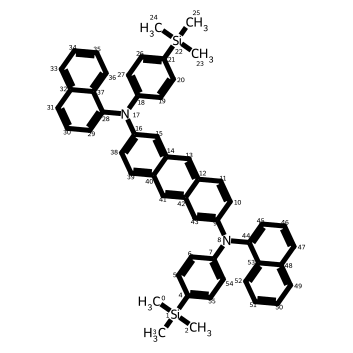 C[Si](C)(C)c1ccc(N(c2ccc3cc4cc(N(c5ccc([Si](C)(C)C)cc5)c5cccc6ccccc56)ccc4cc3c2)c2cccc3ccccc23)cc1